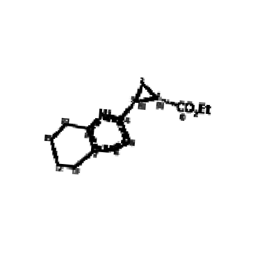 CCOC(=O)[C@H]1C[C@@H]1c1ccc2c(n1)CCCC2